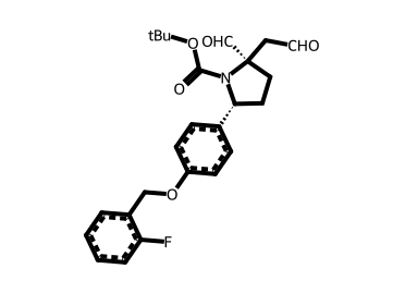 CC(C)(C)OC(=O)N1[C@@H](c2ccc(OCc3ccccc3F)cc2)CC[C@]1(C=O)CC=O